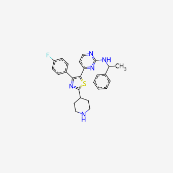 CC(Nc1nccc(-c2sc(C3CCNCC3)nc2-c2ccc(F)cc2)n1)c1ccccc1